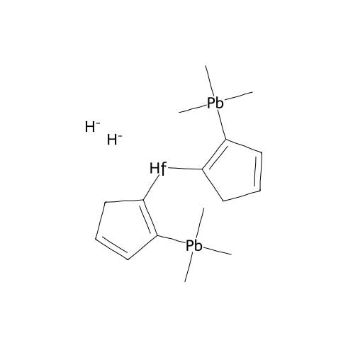 [CH3][Pb]([CH3])([CH3])[C]1=[C]([Hf][C]2=[C]([Pb]([CH3])([CH3])[CH3])C=CC2)CC=C1.[H-].[H-]